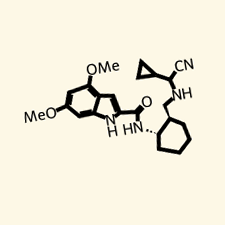 COc1cc(OC)c2cc(C(=O)N[C@H]3CCCC[C@@H]3CNC(C#N)C3CC3)[nH]c2c1